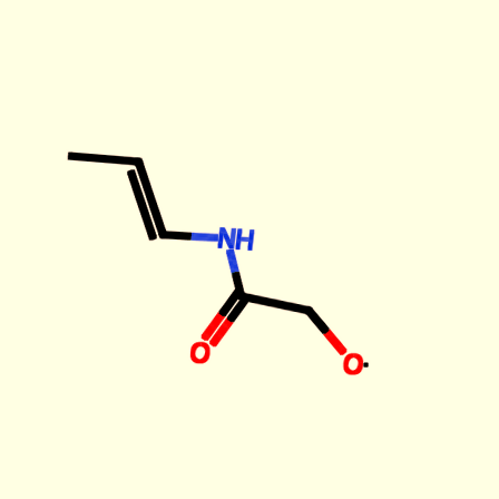 CC=CNC(=O)C[O]